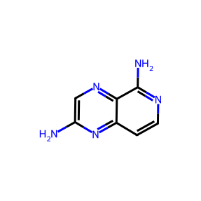 Nc1cnc2c(N)nccc2n1